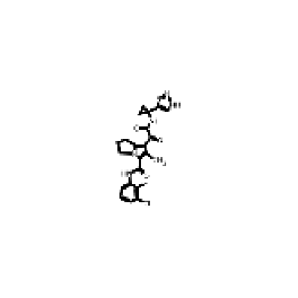 Cc1c(C(=O)C(=O)NC2(c3c[nH]nn3)CC2)c2n(c1C(=O)Nc1cccc(Cl)c1F)CCC2